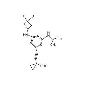 C[C@@H](Nc1nc(C#CC2(C=O)CC2)nc(NC2CC(F)(F)C2)n1)C(F)(F)F